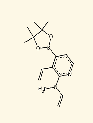 C=Cc1c(B2OC(C)(C)C(C)(C)O2)ccnc1N(P)C=C